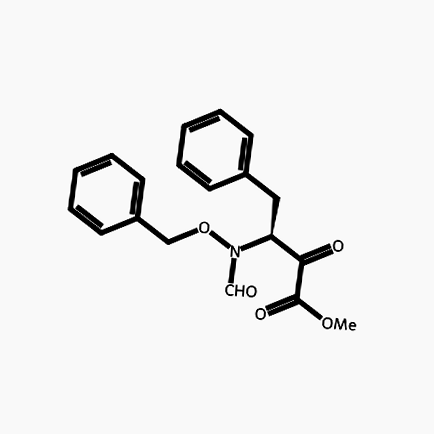 COC(=O)C(=O)[C@H](Cc1ccccc1)N(C=O)OCc1ccccc1